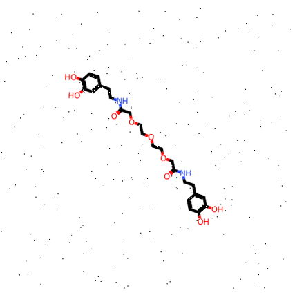 O=C(COCCOCCOCC(=O)NCCc1ccc(O)c(O)c1)NCCc1ccc(O)c(O)c1